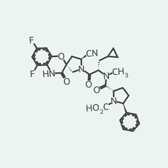 CN(C(=O)[C@@H]1CC[C@@H](c2ccccc2)N1C(=O)O)[C@@H](CC1CC1)C(=O)N1C[C@@]2(C[C@H]1C#N)Oc1cc(F)cc(F)c1NC2=O